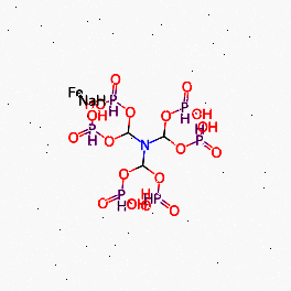 O=[PH](O)OC(O[PH](=O)O)N(C(O[PH](=O)O)O[PH](=O)O)C(O[PH](=O)O)O[PH](=O)O.[Fe].[NaH]